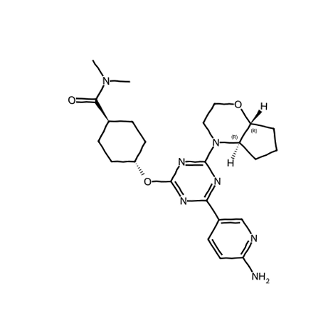 CN(C)C(=O)[C@H]1CC[C@H](Oc2nc(-c3ccc(N)nc3)nc(N3CCO[C@@H]4CCC[C@H]43)n2)CC1